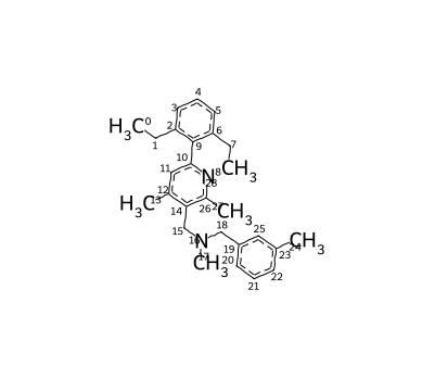 CCc1cccc(CC)c1-c1cc(C)c(CN(C)Cc2cccc(C)c2)c(C)n1